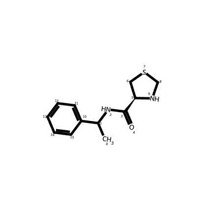 CC(NC(=O)[C@H]1CSCN1)c1ccccc1